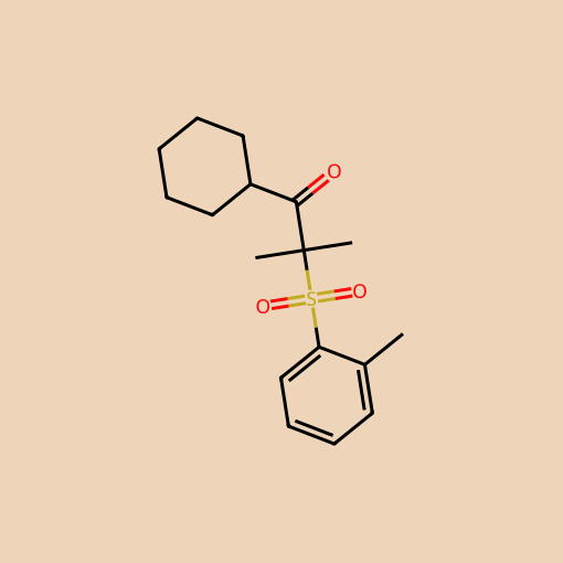 Cc1ccccc1S(=O)(=O)C(C)(C)C(=O)C1CCCCC1